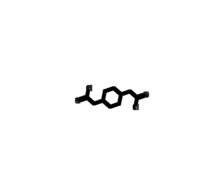 O=C(Cl)CC1CCC(CC(=O)Cl)CC1